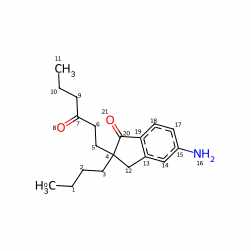 CCCCC1(CCC(=O)CCC)Cc2cc(N)ccc2C1=O